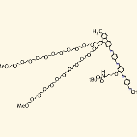 C/C=C/c1ccc(/C=C/c2ccc(/C=C/c3ccc(/C=C/c4ccc5c(c4)C(CCCOCCOCCOCCOCCOCCOCCOCCOCCOCCOCCOCCOC)(CCCOCCOCCOCCOCCOCCOCCOCCOCCOCCOCCOCCOC)c4cc(C)ccc4-5)cc3)cc2OCCCCNC(=O)OC(C)(C)C)cc1